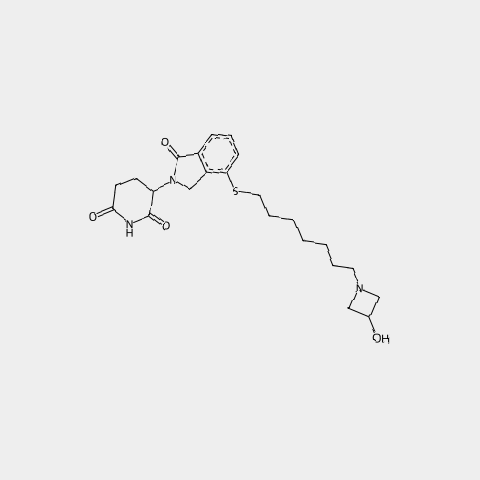 O=C1CCC(N2Cc3c(SCCCCCCCN4CC(O)C4)cccc3C2=O)C(=O)N1